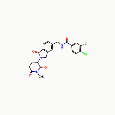 CN1C(=O)CCC(N2Cc3cc(CNC(=O)c4ccc(Cl)c(Cl)c4)ccc3C2=O)C1=O